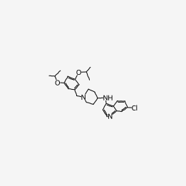 CC(C)Oc1cc(CN2CCC(Nc3ccnc4cc(Cl)ccc34)CC2)cc(OC(C)C)c1